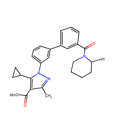 CCCC1CCCCN1C(=O)c1cccc(-c2cccc(-n3nc(C)c(C(=O)OC)c3C3CC3)c2)c1